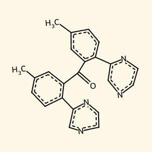 Cc1ccc(-c2cnccn2)c(C(=O)c2cc(C)ccc2-c2cnccn2)c1